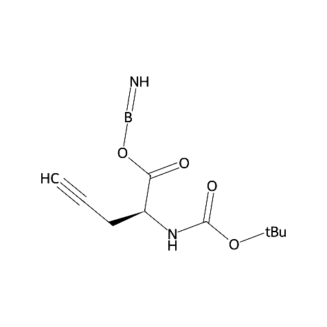 C#CC[C@H](NC(=O)OC(C)(C)C)C(=O)OB=N